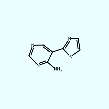 Nc1ncncc1-c1nccs1